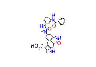 Cc1ccc(NC(=O)c2ccccc2)cc1NC(=O)Nc1ccc2c(c1)NC(=O)C2=Cc1[nH]c(C)c(C(=O)O)c1C